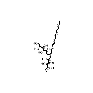 CCOCCOCCOCCOCCN(C[C@H](O)[C@@H](O)[C@H](O)[C@H](O)CC)C[C@H](O)[C@@H](O)[C@H](O)[C@H](O)CO